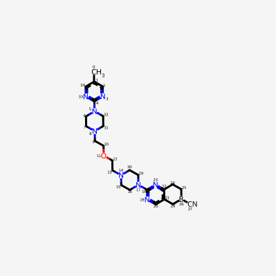 Cc1cnc(N2CCN(CCOCCN3CCN(c4ncc5c(n4)CCB(C#N)C5)CC3)CC2)nc1